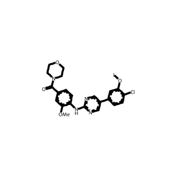 COc1cc(C(=O)N2CCOCC2)ccc1Nc1ncc(-c2ccc(Cl)c(OI)c2)cn1